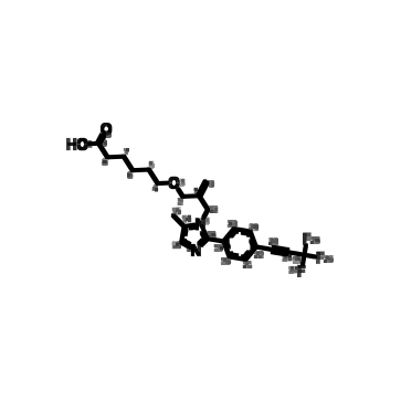 C=C(COCCCCCC(=O)O)Cn1c(C)cnc1-c1ccc(C#CC(F)(F)F)cc1